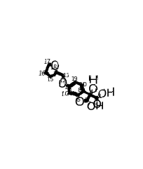 O=C(O)C(O)(C(=O)O)c1ccc(OCC2CCCO2)cc1